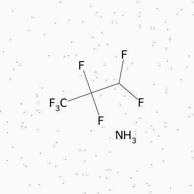 FC(F)C(F)(F)C(F)(F)F.N